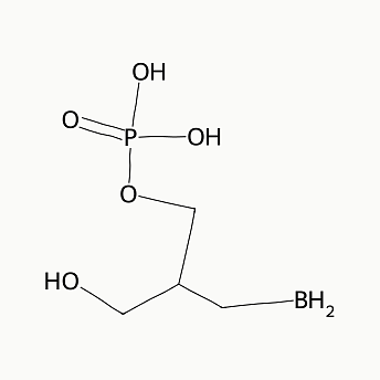 BCC(CO)COP(=O)(O)O